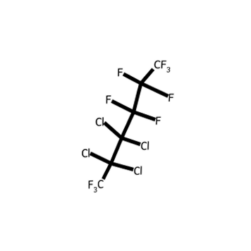 FC(F)(F)C(F)(F)C(F)(F)C(Cl)(Cl)C(Cl)(Cl)C(F)(F)F